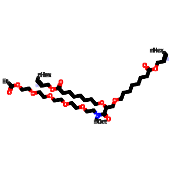 CCCCCC/C=C\COC(=O)CCCCCCCOCC(OCCCCCCCC(=O)OC/C=C\CCCCCC)C(=O)N(CCCCCCCC)CCOCCOCCOCCOCCOC(=O)CC